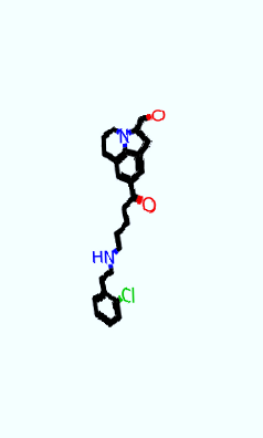 O=CC1Cc2cc(C(=O)CCCCNCCc3ccccc3Cl)cc3c2N1CCC3